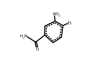 CCc1ccc(C(N)=O)cc1[N+](=O)[O-]